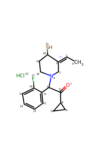 C/C=C1\CN(C(C(=O)C2CC2)c2ccccc2F)CCC1S.Cl